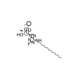 C#C[C@]1(OC(=O)c2ccccc2C)O[C@@H](n2cnc3c(NCCCCCCCCCCCCCC)nc(F)nc32)C[C@@H]1O